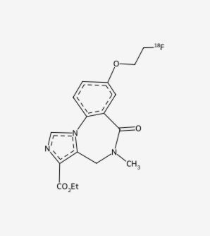 CCOC(=O)c1ncn2c1CN(C)C(=O)c1cc(OCC[18F])ccc1-2